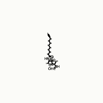 C#CCCCCCCCCC(=O)N[C@H]1COC2[C@@H](NC=O)CO[C@@H]21